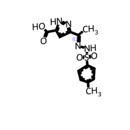 C/C(=N\NS(=O)(=O)c1ccc(C)cc1)c1cc(C(=O)O)[nH]n1